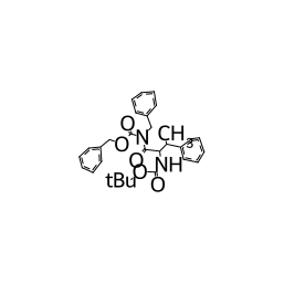 CC(c1ccccc1)C(NC(=O)OC(C)(C)C)C(=O)N(Cc1ccccc1)C(=O)OCc1ccccc1